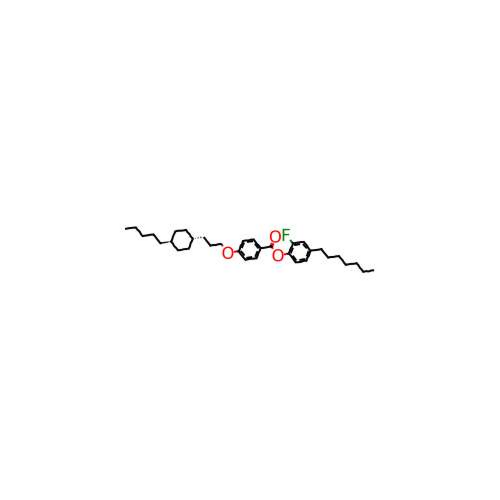 CCCCCCCc1ccc(OC(=O)c2ccc(OCCC[C@H]3CC[C@H](CCCCC)CC3)cc2)c(F)c1